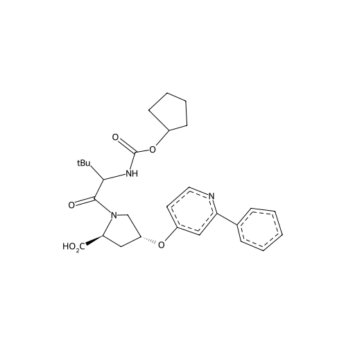 CC(C)(C)C(NC(=O)OC1CCCC1)C(=O)N1C[C@H](Oc2ccnc(-c3ccccc3)c2)C[C@H]1C(=O)O